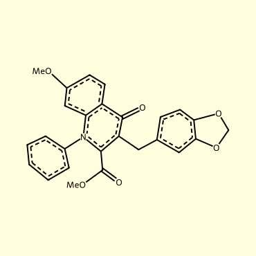 COC(=O)c1c(Cc2ccc3c(c2)OCO3)c(=O)c2ccc(OC)cc2n1-c1ccccc1